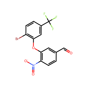 O=Cc1ccc([N+](=O)[O-])c(Oc2cc(C(F)(F)F)ccc2Br)c1